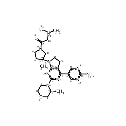 C[C@H]1COCCN1c1nc(-c2cnc(N)nc2)c2c(n1)N([C@@]1(C)CCN(C(=O)CN(C)C)C1)CC2